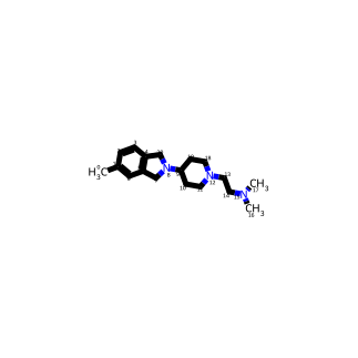 Cc1ccc2c(c1)CN(C1CCN(CCN(C)C)CC1)C2